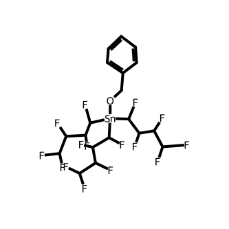 FC(F)C(F)C(F)[CH](F)[Sn]([O]Cc1ccccc1)([CH](F)C(F)C(F)C(F)F)[CH](F)C(F)C(F)C(F)F